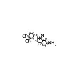 Nc1ccc2ccn(Cc3ccc(Cl)c(Cl)c3)c(=O)c2c1